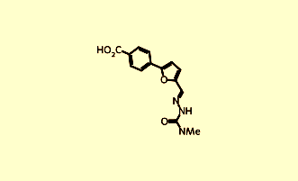 CNC(=O)NN=Cc1ccc(-c2ccc(C(=O)O)cc2)o1